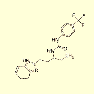 CCC(CCc1nc2c([nH]1)C=CCC2)NC(=O)Nc1ccc(C(F)(F)F)cc1